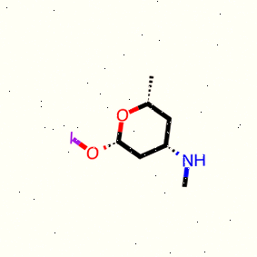 CN[C@@H]1C[C@H](OI)O[C@H](C)C1